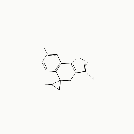 CC1CC12Cc1c(N)noc1-c1cc(Br)ccc12